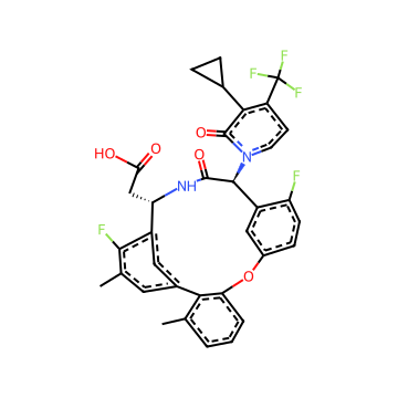 Cc1cc2cc(c1F)[C@H](CC(=O)O)NC(=O)[C@@H](n1ccc(C(F)(F)F)c(C3CC3)c1=O)c1cc(ccc1F)Oc1cccc(C)c1-2